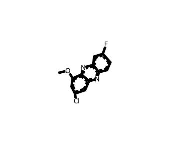 COc1cc(Cl)cc2nc3ccc(F)cc3nc12